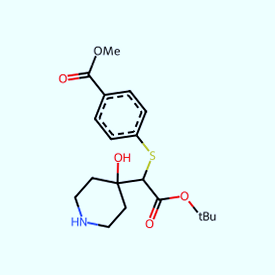 COC(=O)c1ccc(SC(C(=O)OC(C)(C)C)C2(O)CCNCC2)cc1